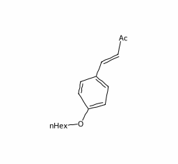 CCCCCCOc1ccc(/C=C/C(C)=O)cc1